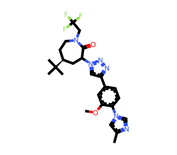 COc1cc(-c2cn(C3C[C@@H](C(C)(C)C)CCN(CC(F)(F)F)C3=O)nn2)ccc1-n1cnc(C)c1